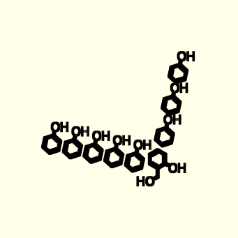 OCc1ccccc1O.Oc1ccccc1.Oc1ccccc1.Oc1ccccc1.Oc1ccccc1.Oc1ccccc1.Oc1ccccc1.Oc1ccccc1.Oc1ccccc1